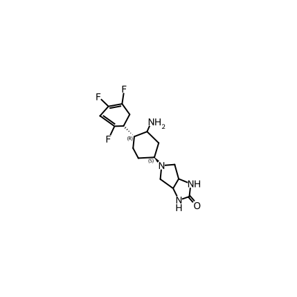 NC1C[C@@H](N2CC3NC(=O)NC3C2)CC[C@@H]1C1CC(F)=C(F)C=C1F